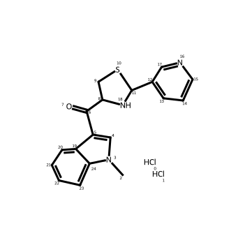 Cl.Cl.Cn1cc(C(=O)C2CSC(c3cccnc3)N2)c2ccccc21